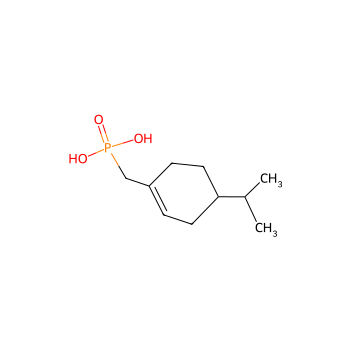 CC(C)C1CC=C(CP(=O)(O)O)CC1